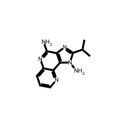 CC(C)c1nc2c(N)nc3cccnc3c2n1N